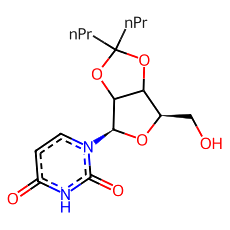 CCCC1(CCC)OC2C(O1)[C@@H](CO)O[C@H]2n1ccc(=O)[nH]c1=O